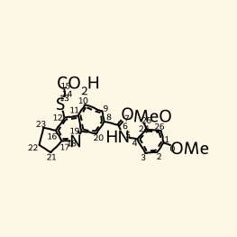 COc1ccc(NC(=O)c2ccc3c(SCC(=O)O)c4c(nc3c2)CCC4)c(OC)c1